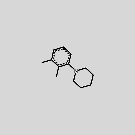 Cc1cccc(N2CCCCC2)c1C